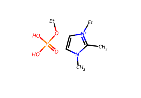 CCOP(=O)(O)O.CC[n+]1ccn(C)c1C